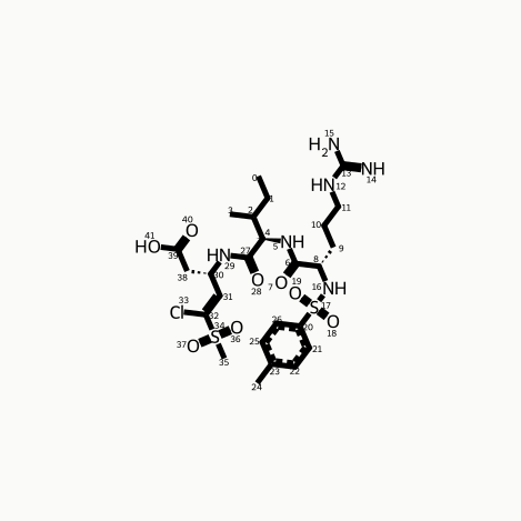 CCC(C)[C@@H](NC(=O)[C@H](CCCNC(=N)N)NS(=O)(=O)c1ccc(C)cc1)C(=O)N[C@H](/C=C(\Cl)S(C)(=O)=O)CC(=O)O